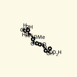 COc1cc(C(=O)N2CCC3(CCN(C(=O)COc4cccc(C(O)(C(=O)O)c5ccccc5)c4)CC3)CC2)ccc1CNCC(O)c1ccc(O)c2[nH]c(=O)ccc12